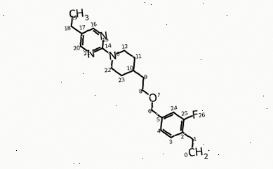 [CH2]Cc1ccc(COCCC2CCN(c3ncc(CC)cn3)CC2)cc1F